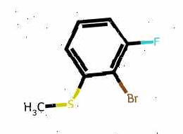 CSc1cccc(F)c1Br